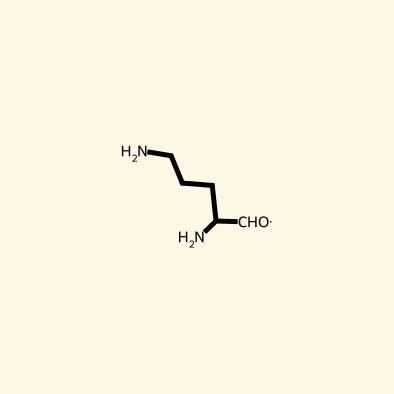 NCCCC(N)[C]=O